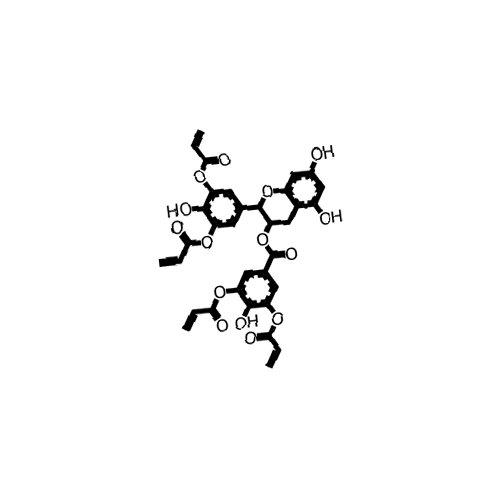 C=CC(=O)Oc1cc(C(=O)OC2Cc3c(O)cc(O)cc3OC2c2cc(OC(=O)C=C)c(O)c(OC(=O)C=C)c2)cc(OC(=O)C=C)c1O